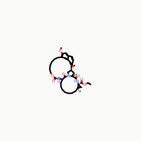 CCOC(=O)[C@@]12C[C@H]1CCCCCCC[C@@H]1NC(=O)OCCCCCCc3cc4cc(ccc4cc3OC)[C@]3(OC)C[C@@H](C(=O)N2)N(C3)C1=O